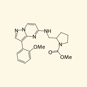 COC(=O)N1CCCC1CNc1ccn2ncc(-c3ccccc3OC)c2n1